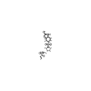 C=CS(=O)(=O)NC[C@H]1CCN(S(=O)(=O)c2ccc3[nH]c(=O)sc3c2)C1